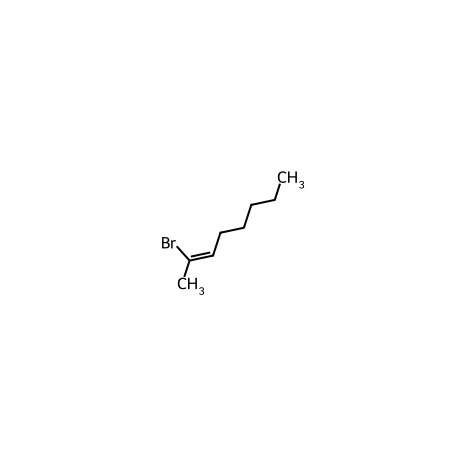 CCCCCC=C(C)Br